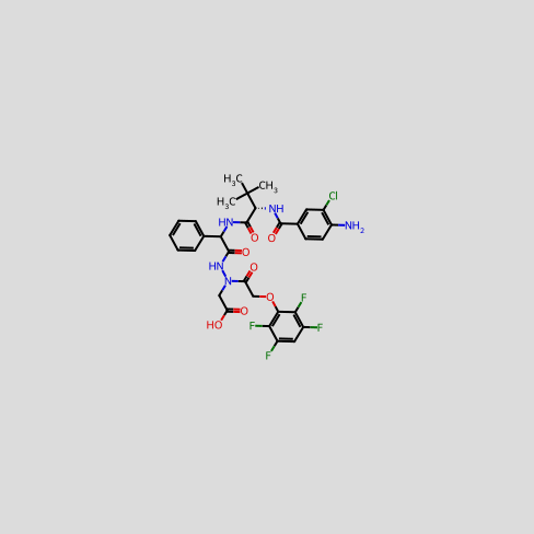 CC(C)(C)[C@H](NC(=O)c1ccc(N)c(Cl)c1)C(=O)NC(C(=O)NN(CC(=O)O)C(=O)COc1c(F)c(F)cc(F)c1F)c1ccccc1